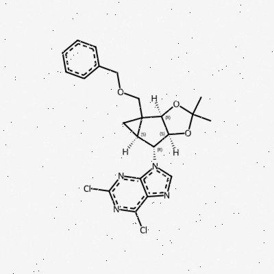 CC1(C)O[C@H]2[C@H](n3cnc4c(Cl)nc(Cl)nc43)[C@H]3CC3(COCc3ccccc3)[C@H]2O1